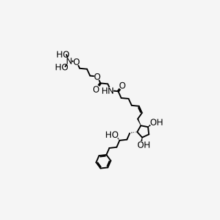 O=C(CCC/C=C\C[C@@H]1[C@@H](CC[C@@H](O)CCc2ccccc2)[C@H](O)C[C@@H]1O)NCC(=O)OCCCON(O)O